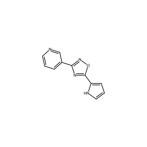 c1cncc(-c2noc(-c3ccc[nH]3)n2)c1